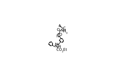 CCOC(=O)c1nc(-c2cccc(-c3ncc(C(=O)N[C@@H](C)C4CC4)o3)c2)nn1Cc1ccccc1